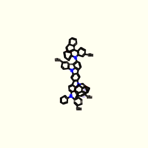 C=C1/C=C(C(C)(C)C)\C=C/Cn2c3cc4c5ccc(N(c6ccccc6)c6cc(C(C)(C)C)ccc6-c6cccc7ccccc67)c6c7cc(C(C)(C)C)ccc7n(c4cc3c3ccc(N(c4ccccc4)c4cc(C(C)(C)C)ccc4-c4cccc7ccccc47)c1c32)c56